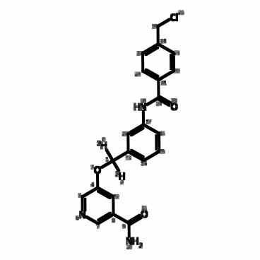 [2H]C([2H])(Oc1cncc(C(N)=O)c1)c1cccc(NC(=O)c2ccc(CCl)cc2)c1